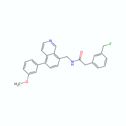 COc1cccc(-c2ccc(CNC(=O)Cc3cccc(CF)c3)c3cnccc23)c1